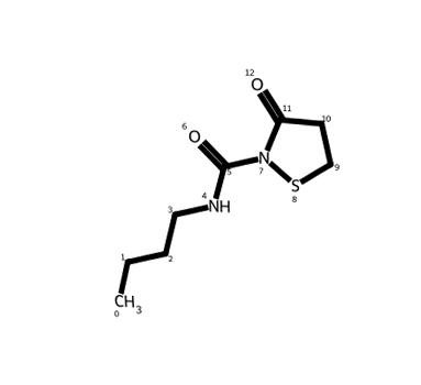 CCCCNC(=O)N1SCCC1=O